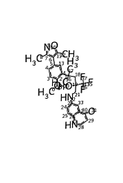 COc1ccc(-c2c(C)noc2C)cc1C(C)(C)CC(O)(CNc1ccc2[nH]ccc(=O)c2c1)C(F)(F)F